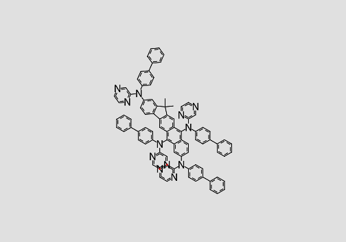 CC1(C)c2cc(N(c3ccc(-c4ccccc4)cc3)c3cnccn3)ccc2-c2cc3c(N(c4ccc(-c5ccccc5)cc4)c4cnccn4)c4cc(N(c5ccc(-c6ccccc6)cc5)c5cnccn5)ccc4c(N(c4ccc(-c5ccccc5)cc4)c4cnccn4)c3cc21